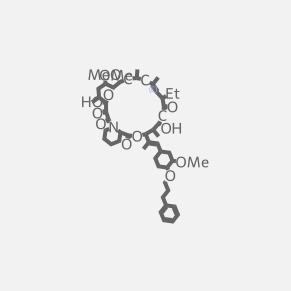 CCC1/C=C(\C)CC(C)CC(OC)C2OC(O)(C(=O)C(=O)N3CCCCC3C(=O)OC(C(C)=CC3CCC(OCCCc4ccccc4)C(OC)C3)C(C)C(O)CC1=O)C(C)CC2OC